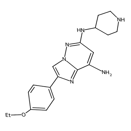 CCOc1ccc(-c2cn3nc(NC4CCNCC4)cc(N)c3n2)cc1